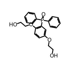 O=P(c1ccccc1)(c1ccccc1)c1cc(OCCO)ccc1OCCO